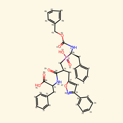 O=C(N[C@@H](Cc1ccccc1)P(=O)(O)CC(Cc1cc(-c2ccccc2)no1)C(=O)NC(Cc1ccccc1)C(=O)O)OCc1ccccc1